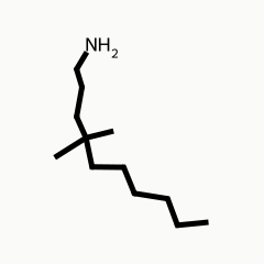 CCCCCCC(C)(C)CCCN